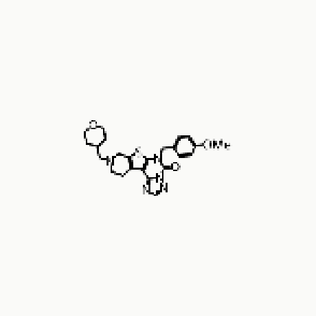 COc1ccc(Cn2c(=O)n3ncnc3c3c4c(sc32)CN(CC2CCOCC2)CC4)cc1